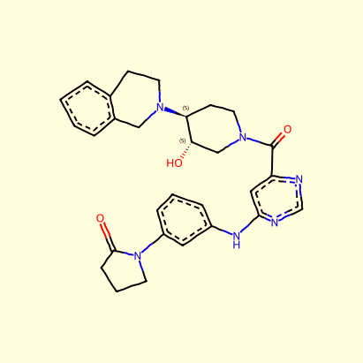 O=C(c1cc(Nc2cccc(N3CCCC3=O)c2)ncn1)N1CC[C@H](N2CCc3ccccc3C2)[C@@H](O)C1